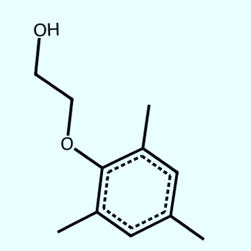 Cc1cc(C)c(OCCO)c(C)c1